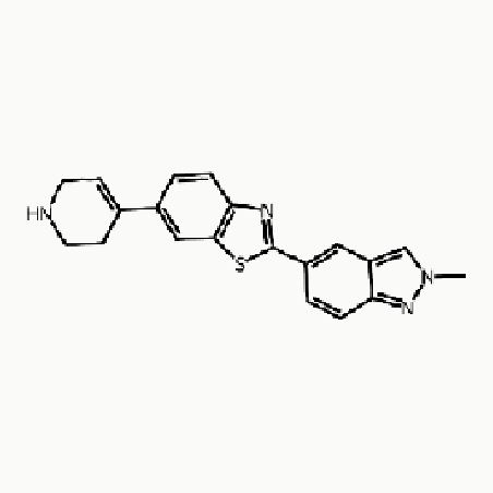 Cn1cc2cc(-c3nc4ccc(C5=CCNCC5)cc4s3)ccc2n1